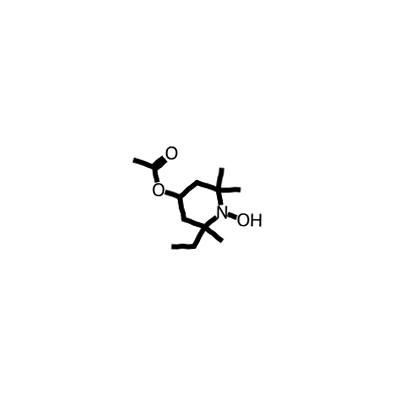 CCC1(C)CC(OC(C)=O)CC(C)(C)N1O